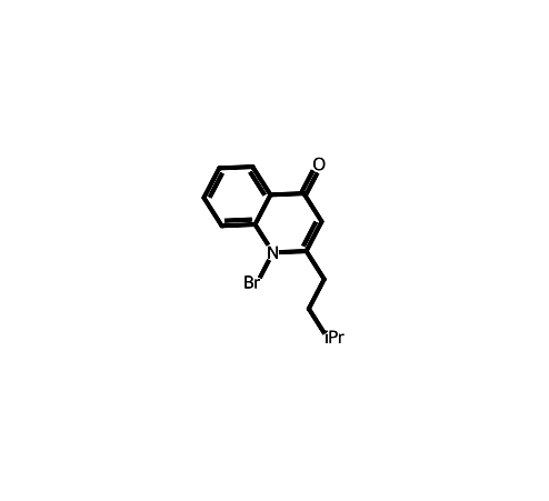 CC(C)CCc1cc(=O)c2ccccc2n1Br